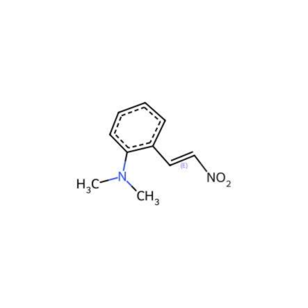 CN(C)c1ccccc1/C=C/[N+](=O)[O-]